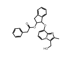 Cc1nc2c(OC3c4ccccc4CC3OC(=O)Cc3ccccc3)cccn2c1CO